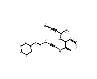 C=C(NC#CNCNC1CCCCC1)C(/C=C\C)SC(N)C#CCC